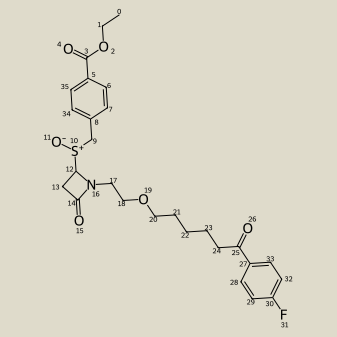 CCOC(=O)c1ccc(C[S+]([O-])C2CC(=O)N2CCOCCCCCC(=O)c2ccc(F)cc2)cc1